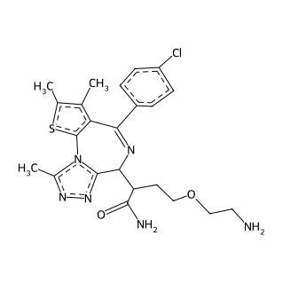 Cc1sc2c(c1C)C(c1ccc(Cl)cc1)=NC(C(CCOCCN)C(N)=O)c1nnc(C)n1-2